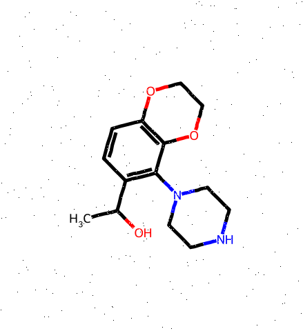 CC(O)c1ccc2c(c1N1CCNCC1)OCCO2